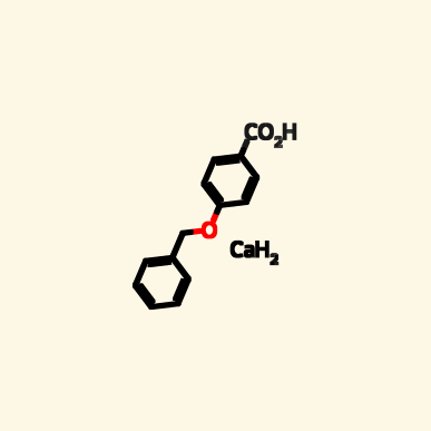 O=C(O)c1ccc(OCc2ccccc2)cc1.[CaH2]